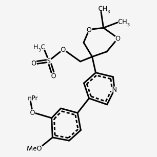 CCCOc1cc(-c2cncc(C3(COS(C)(=O)=O)COC(C)(C)OC3)c2)ccc1OC